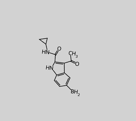 Bc1ccc2[nH]c(C(=O)NC3CC3)c(C(C)=O)c2c1